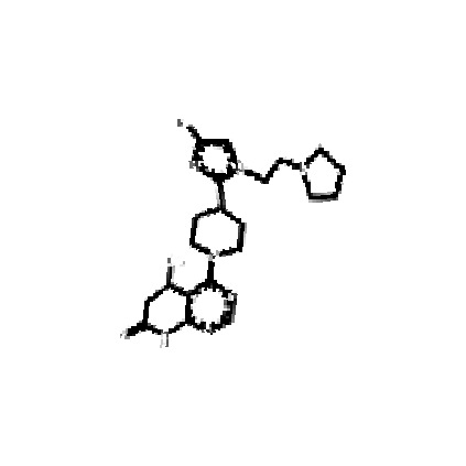 CC1CC(=O)Nc2ncnc(N3CCC(c4nc(Br)cn4CCN4CCCC4)CC3)c21